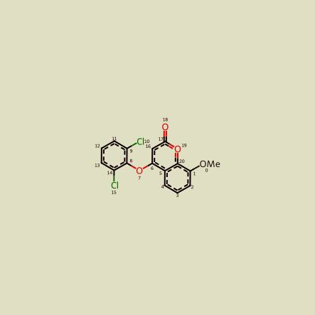 COc1cccc2c(Oc3c(Cl)cccc3Cl)cc(=O)oc12